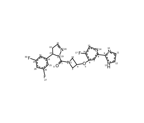 O=C(N1CC(Oc2cc(-c3ncc[nH]3)ncc2F)C1)N1N=CCC1c1cc(F)cc(F)c1